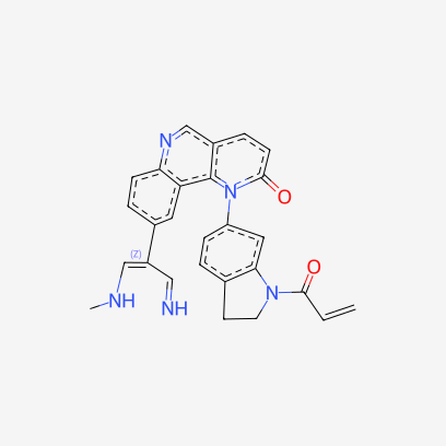 C=CC(=O)N1CCc2ccc(-n3c(=O)ccc4cnc5ccc(/C(C=N)=C/NC)cc5c43)cc21